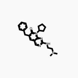 CN(C)CCNc1ncc2cc(Cc3ccccc3)c(=O)n(C3CCCC3)c2n1